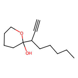 C#CC(CCCCC)C1(O)CCCCO1